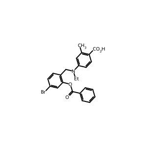 CCN(Cc1ccc(Br)cc1OC(=O)c1ccccc1)c1ccc(C(=O)O)c(C)c1